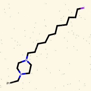 CC(C)CN1CCN(CCCCCCCCCCCI)CC1